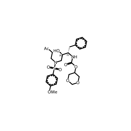 COc1ccc(S(=O)(=O)N(CCC(C)=O)C[C@@H](O)[C@H](Cc2ccccc2)NC(=O)OC2COCOC2)cc1